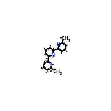 Cc1cccc(-c2cccc(-c3cccc(C)n3)n2)n1